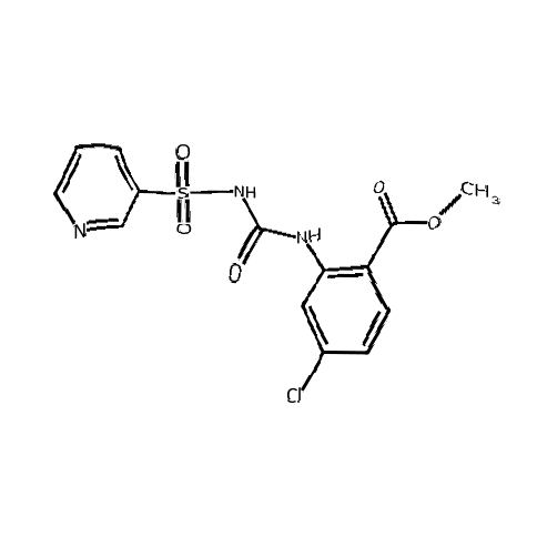 COC(=O)c1ccc(Cl)cc1NC(=O)NS(=O)(=O)c1cccnc1